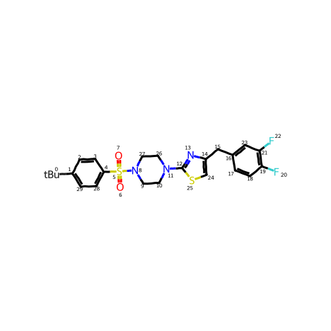 CC(C)(C)c1ccc(S(=O)(=O)N2CCN(c3nc(Cc4ccc(F)c(F)c4)cs3)CC2)cc1